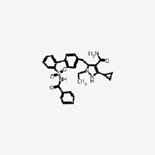 CCN1NC(C2CC2)=C(C(N)=O)C1Cc1ccc(-c2ccccc2S(=O)(=O)NC(=O)c2ccccc2)cc1